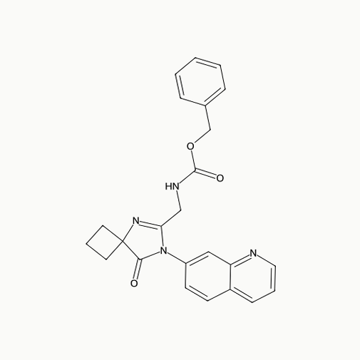 O=C(NCC1=NC2(CCC2)C(=O)N1c1ccc2cccnc2c1)OCc1ccccc1